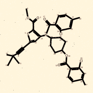 COC(=O)c1sc(C#CC(C)(C)C)cc1N(C(=O)c1ccc(C)cc1Cl)C1CCC(OC(=O)c2ccc(C)cc2Cl)CC1